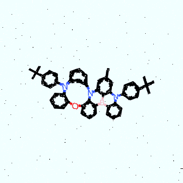 Cc1cc2c3c(c1)N1c4cccc(c4)N(c4ccc(C(C)(C)C)cc4)c4ccccc4Oc4cccc(c41)B3c1ccccc1N2c1ccc(C(C)(C)C)cc1